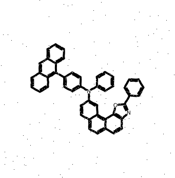 c1ccc(-c2nc3ccc4ccc5ccc(N(c6ccccc6)c6ccc(-c7c8ccccc8cc8ccccc78)cc6)cc5c4c3o2)cc1